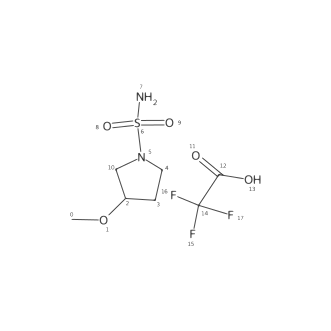 COC1CCN(S(N)(=O)=O)C1.O=C(O)C(F)(F)F